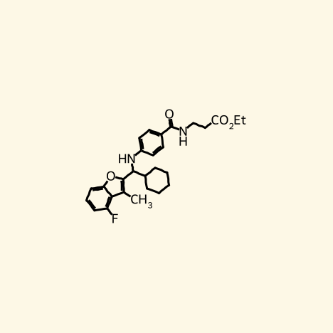 CCOC(=O)CCNC(=O)c1ccc(NC(c2oc3cccc(F)c3c2C)C2CCCCC2)cc1